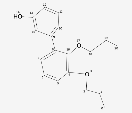 CCCOc1cccc(-c2cccc(O)c2)c1OCCC